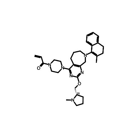 C=CC(=O)N1CCN(c2nc(OC[C@@H]3CCCN3C)nc3c2CCCN(C2=C(C)CCc4ccccc42)C3)CC1